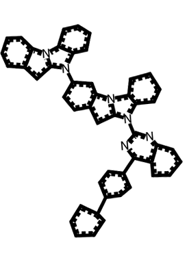 c1ccc(-c2ccc(-c3nc(-n4c5ccccc5n5c6cc(-n7c8ccccc8n8c9ccccc9cc78)ccc6cc45)nc4ccccc34)cc2)cc1